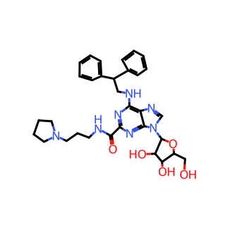 O=C(NCCCN1CCCC1)c1nc(NCC(c2ccccc2)c2ccccc2)c2ncn(C3OC(CO)C(O)C3O)c2n1